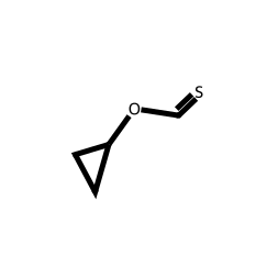 S=COC1CC1